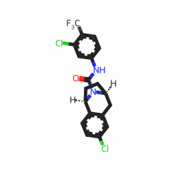 O=C(Nc1ccc(C(F)(F)F)c(Cl)c1)N1[C@H]2CC[C@@H]1c1ccc(Cl)cc1C2